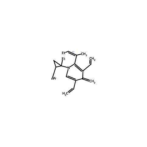 C=CC1=CN(C2(CC)CC2CCC)C(/C(C)=C\CC)=C(C=C)C1=C